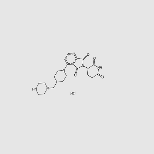 Cl.O=C1CCC(N2C(=O)c3cccc(N4CCC(CN5CCNCC5)CC4)c3C2=O)C(=O)N1